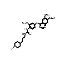 COc1cc(Oc2ncnc3cc(OC)c(OC)cc23)ccc1NC(=O)NCCCN1CCN(C)CC1